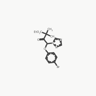 CCOC(=O)C(C)(C)C(=O)C(Oc1ccc(Br)cc1)n1cncn1